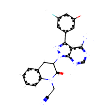 N#CCN1C(=O)C(n2nc(-c3cc(O)cc(F)c3)c3c(N)ncnc32)Cc2ccccc21